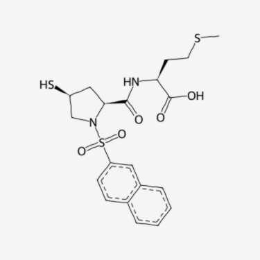 CSCC[C@H](NC(=O)[C@@H]1C[C@H](S)CN1S(=O)(=O)c1ccc2ccccc2c1)C(=O)O